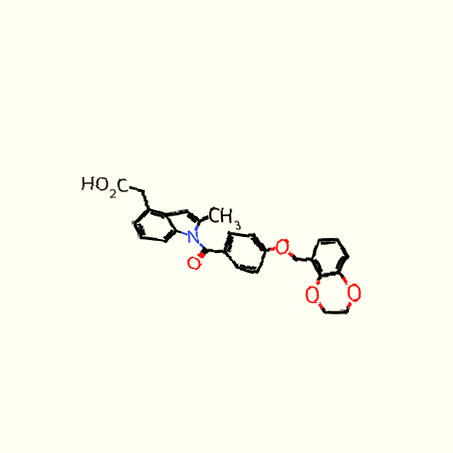 Cc1cc2c(CC(=O)O)cccc2n1C(=O)c1ccc(OCc2cccc3c2OCCO3)cc1